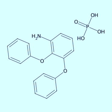 Nc1cccc(Oc2ccccc2)c1Oc1ccccc1.O=P(O)(O)O